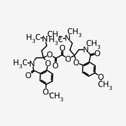 COc1ccc2c(c1)C(=O)N(C)CC(CCN(C)C)(OC(=O)C(=O)OC1(CCN(C)C)CN(C)C(=O)c3cc(OC)ccc3O1)O2